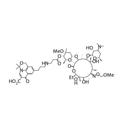 CC[C@H]1OC(=O)[C@H](C)[C@@H](O[C@H]2C[C@@](C)(OC)[C@@H](OC(=O)CCNCCCc3cc4c5c(c3)c(=O)c(C(=O)O)cn5C(C)(C)OC4)[C@H](C)O2)[C@H](C)[C@@H](O[C@@H]2O[C@H](C)C[C@H](N(C)C)[C@H]2O)[C@](C)(O)C[C@@H](C)/C(=N\OCOC)[C@H](C)[C@@H](O)[C@]1(C)O